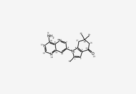 Cc1cc2c(n1-c1cnc3c(N)ncnc3c1)CC(C)(C)CC2=O